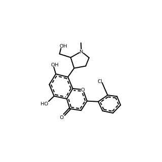 CN1CCC(c2c(O)cc(O)c3c(=O)cc(-c4ccccc4Cl)oc23)C1CO